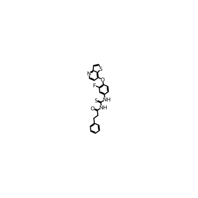 O=C(CCc1ccccc1)NC(=S)Nc1ccc(Oc2ccnc3ccsc23)c(F)c1